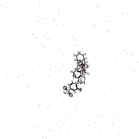 Cc1c(Nc2ccc(S(C)(=O)=O)cc2F)ncnc1OC1CC2CCCC(C1)N2S(=O)(=O)C1CC1